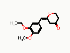 CCOc1cc(C=C2CC(=O)CCO2)ccc1OC